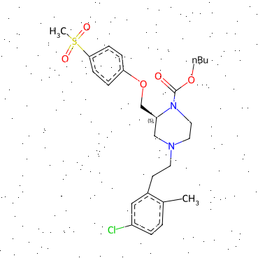 CCCCOC(=O)N1CCN(CCc2cc(Cl)ccc2C)C[C@H]1COc1ccc(S(C)(=O)=O)cc1